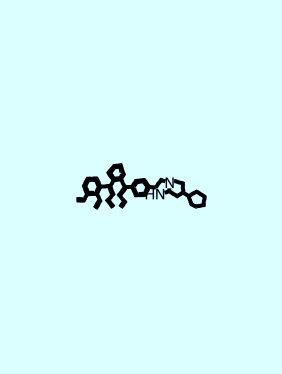 C=C/C=C(/c1ccccc1/C(=C/C=C)c1ccc(C2CN3CCC(C4CCCCC4)CC3N2)cc1)c1cccc(C=C)c1C=C